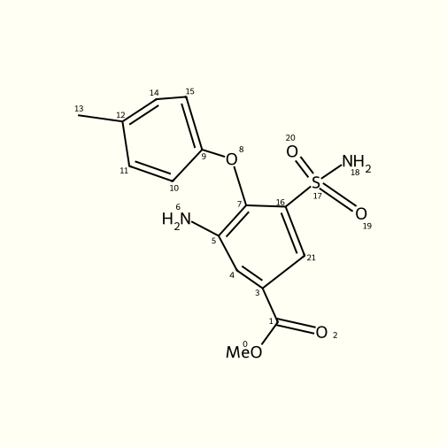 COC(=O)c1cc(N)c(Oc2ccc(C)cc2)c(S(N)(=O)=O)c1